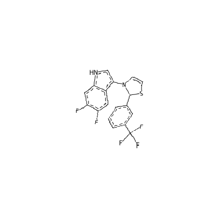 Fc1cc2[nH]cc(N3C=CSC3c3cccc(C(F)(F)F)c3)c2cc1F